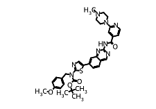 COc1ccc(CN(C(=O)OC(C)(C)C)c2ncc(-c3ccc4cnc(NC(=O)c5ccnc(N6CCN(C)CC6)c5)nc4c3)s2)cc1